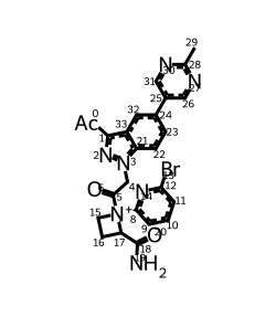 CC(=O)c1nn(CC(=O)[N@@+]2(c3cccc(Br)n3)CCC2C(N)=O)c2ccc(-c3cnc(C)nc3)cc12